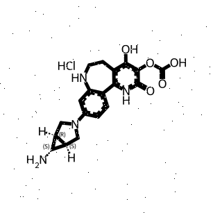 Cl.N[C@@H]1[C@H]2CN(c3ccc4c(c3)NCCc3c-4[nH]c(=O)c(OC(=O)O)c3O)C[C@@H]12